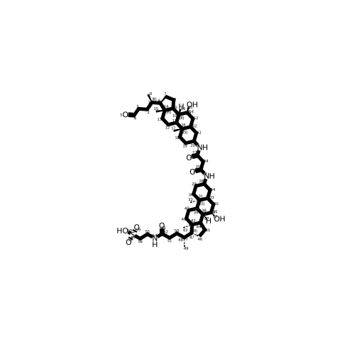 C[C@H](CCC=O)[C@H]1CCC2[C@H]3C(CC[C@@]21C)[C@@]1(C)CCC(NC(=O)CC(=O)NC2CC[C@@]4(C)C(C2)C[C@H](O)[C@@H]2C4CC[C@@]4(C)C2CC[C@@H]4[C@H](C)CCC(=O)NCCS(=O)(=O)O)CC1C[C@@H]3O